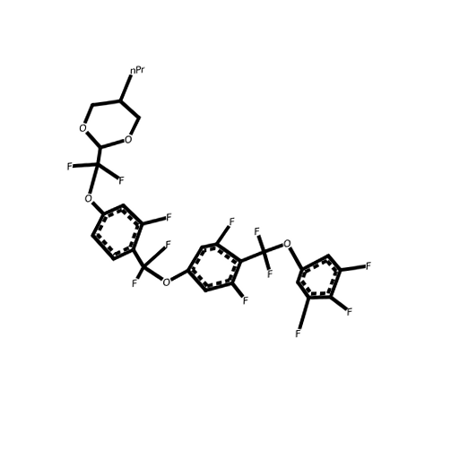 CCCC1COC(C(F)(F)Oc2ccc(C(F)(F)Oc3cc(F)c(C(F)(F)Oc4cc(F)c(F)c(F)c4)c(F)c3)c(F)c2)OC1